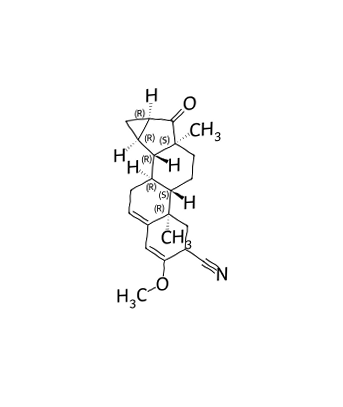 COC1=CC2=CC[C@H]3[C@@H]4[C@H]5C[C@H]5C(=O)[C@@]4(C)CC[C@@H]3[C@@]2(C)CC1C#N